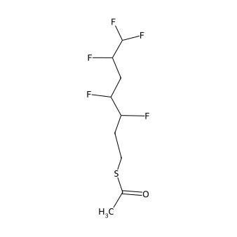 CC(=O)SCCC(F)C(F)CC(F)C(F)F